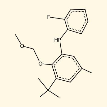 COCOc1c(Pc2ccccc2F)cc(C)cc1C(C)(C)C